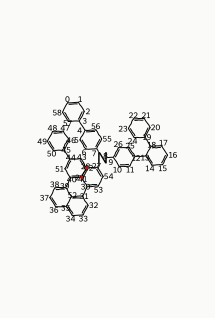 c1ccc(-c2ccc(N(c3ccc(-c4ccccc4-c4ccccc4)cc3)c3ccc(-c4cccc5cccc(-c6cccc(-c7ccccc7)c6)c45)cc3)cc2)cc1